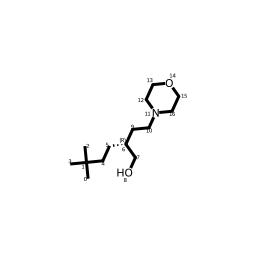 CC(C)(C)CC[C@@H](CO)CCN1CCOCC1